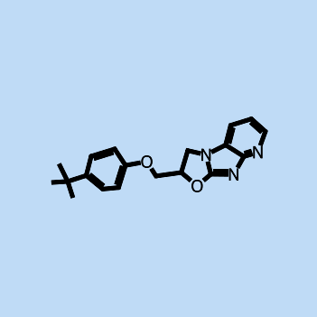 CC(C)(C)c1ccc(OCC2Cn3c(nc4ncccc43)O2)cc1